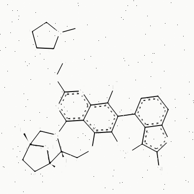 CN1CCC[C@H]1COc1nc2c3c(c(Cl)c(-c4cccc5sc(N)c(C#N)c45)c(F)c3n1)OC[C@@H]1[C@@H]3CC[C@H](CN21)N3